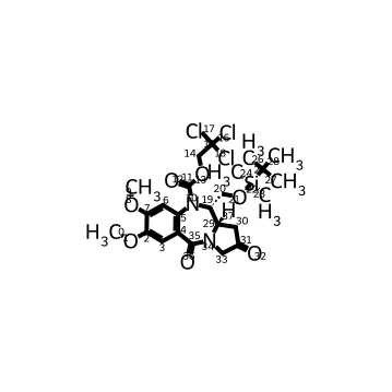 COc1cc2c(cc1OC)N(C(=O)OCC(Cl)(Cl)Cl)[C@H](CO[Si](C)(C)C(C)(C)C)[C@@H]1CC(=O)CN1C2=O